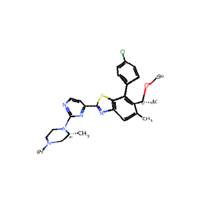 CC(=O)[C@@H](OC(C)(C)C)c1c(C)cc2nc(-c3ccnc(N4CCN(C(C)C)C[C@H]4C)n3)sc2c1-c1ccc(Cl)cc1